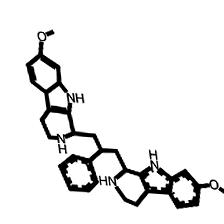 COC1=CC2NC3=C(CCNC3CC(CC3NCCc4c3[nH]c3cc(OC)ccc43)c3ccccc3)C2C=C1